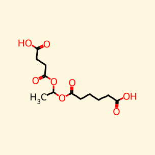 CC(OC(=O)CCCCC(=O)O)OC(=O)CCC(=O)O